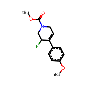 CCCCOc1ccc(C2=CCN(C(=O)OC(C)(C)C)CC2F)cc1